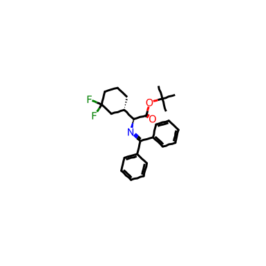 CC(C)(C)OC(=O)[C@@H](N=C(c1ccccc1)c1ccccc1)[C@H]1CCCC(F)(F)C1